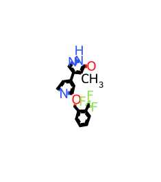 Cc1c(-c2ccnc(OCc3ccccc3C(F)(F)F)c2)cn[nH]c1=O